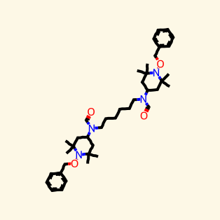 CC1(C)CC(N(C=O)CCCCCCN(C=O)C2CC(C)(C)N(OCc3ccccc3)C(C)(C)C2)CC(C)(C)N1OCc1ccccc1